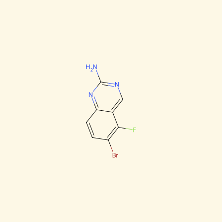 Nc1ncc2c(F)c(Br)ccc2n1